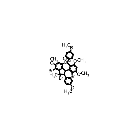 COc1ccc(Cc2c(OC)cc(OC)c(Br)c2C2c3c(OC)cc(OC)c(Br)c3C(C)(Br)C2c2ccc(OC)cc2)cc1